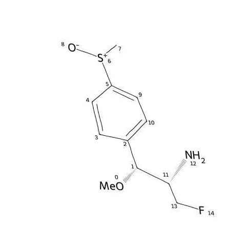 CO[C@H](c1ccc([S+](C)[O-])cc1)[C@H](N)CF